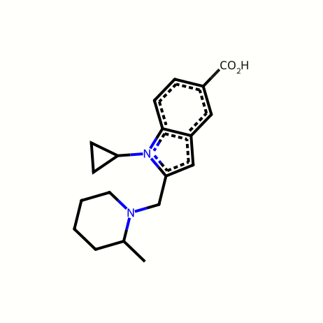 CC1CCCCN1Cc1cc2cc(C(=O)O)ccc2n1C1CC1